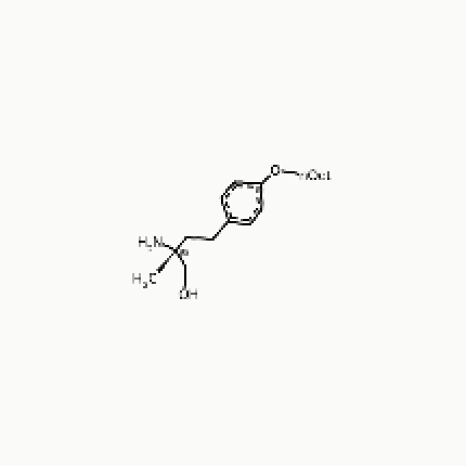 CCCCCCCCOc1ccc(CC[C@@](C)(N)CO)cc1